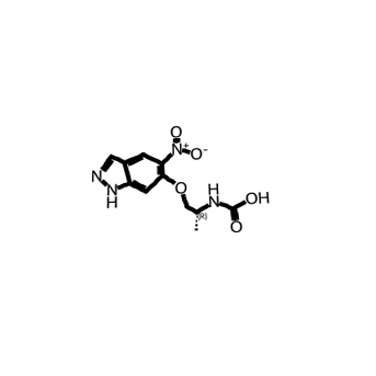 C[C@H](COc1cc2[nH]ncc2cc1[N+](=O)[O-])NC(=O)O